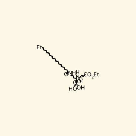 CCC=CCC=CCC=CCC=CCC=CCCCC(=O)NCCCC(NC(=O)C=CC(=O)OCC)C(=O)OC(CO)CO